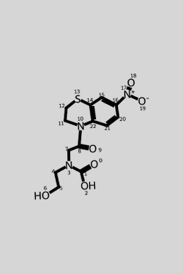 O=C(O)N(CCO)CC(=O)N1CCSc2cc([N+](=O)[O-])ccc21